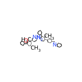 C[C@@H]1Cc2c(oc3ccccc23)[C@@](C)(C(/C=C\Cn2c3c(c4ccccc42)[C@@H](C)C(C2=CCC(/C=N/c4ccccc4)C=C2)C=C3)=C/N)C1